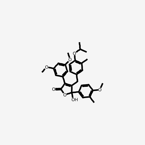 COc1cc(OC)cc(C2=C(Cc3ccc(OC(C)C)c(C)c3)C(O)(c3ccc(OC)c(C)c3)OC2=O)c1